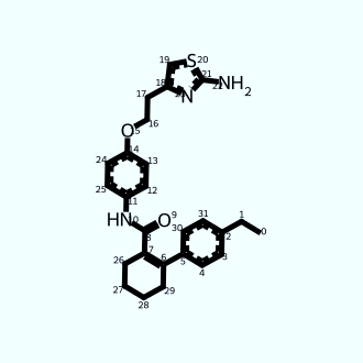 CCc1ccc(C2=C(C(=O)Nc3ccc(OCCc4csc(N)n4)cc3)CCCC2)cc1